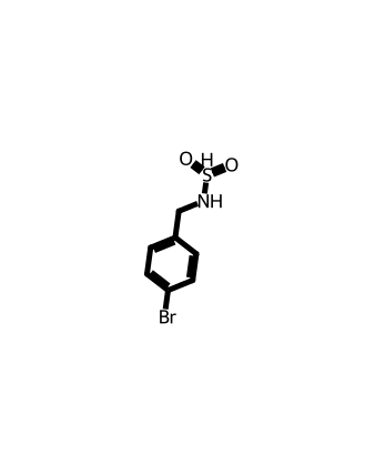 O=[SH](=O)NCc1ccc(Br)cc1